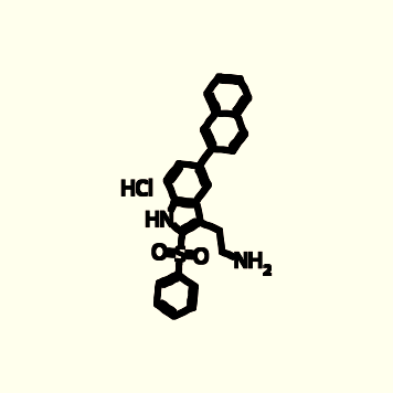 Cl.NCCc1c(S(=O)(=O)c2ccccc2)[nH]c2ccc(-c3ccc4ccccc4c3)cc12